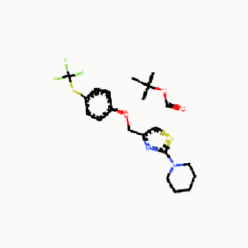 CC(C)(C)OC=O.FC(F)(F)Sc1ccc(OCc2csc(N3CCCCC3)n2)cc1